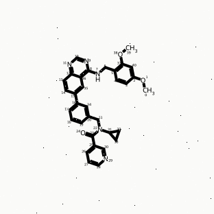 COc1ccc(CNc2ncnc3ccc(-c4cccc(CN(C(=O)c5cccnc5)C5CC5)c4)cc23)c(OC)c1